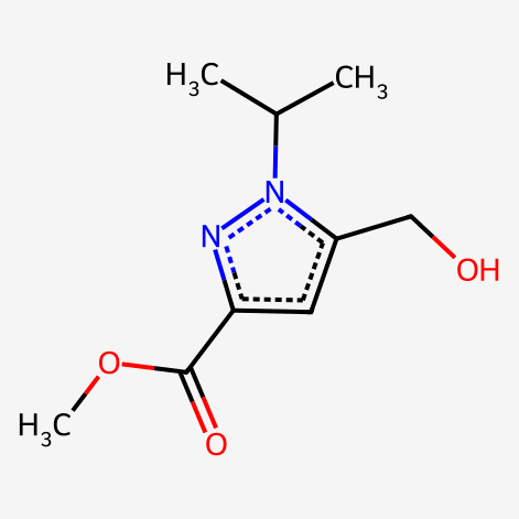 COC(=O)c1cc(CO)n(C(C)C)n1